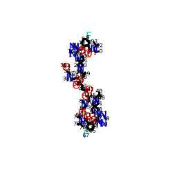 CCN(C(=O)c1cc(F)ccc1Oc1nncnc1N1CCC2(C1)CN([C@H](C[C@@H](CN(C)CCOC)OC(=O)/C=C/C(=O)O[C@@H](C[C@H](C(C)C)N1CC3(CCN(c4ncnnc4Oc4ccc(F)cc4C(=O)N(CC)C(C)C)C3)C1)CN(C)CCOC)C(C)C)C2)C(C)C